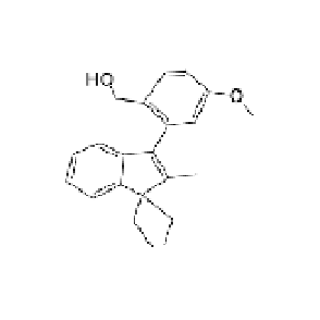 CCC1(CC)C(C)=C(c2cc(OC)ccc2CO)c2ccccc21